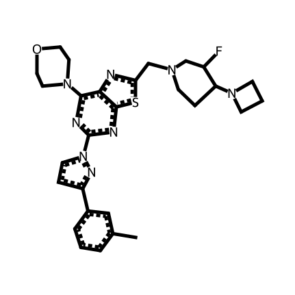 Cc1cccc(-c2ccn(-c3nc(N4CCOCC4)c4nc(CN5CCC(N6CCC6)C(F)C5)sc4n3)n2)c1